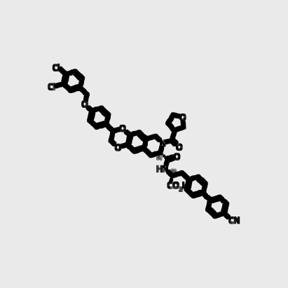 N#Cc1ccc(-c2ccc(C[C@H](NC(=O)[C@@H]3Cc4cc5c(cc4CN3C(=O)C3CCOC3)OC(c3ccc(OCc4ccc(Cl)c(Cl)c4)cc3)CO5)C(=O)O)cc2)cc1